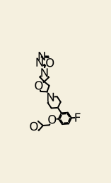 Fc1ccc(OCC2COC2)c(C2CCN(C3COC4(C3)CN(c3nnco3)C4)CC2)c1